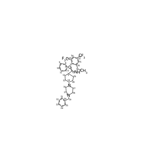 CC(NC(=O)[C@]1(c2ccccc2)CC[C@@H](N2CCN(Cc3ccccc3)CC2)CC1)c1cc(C(F)(F)F)cc(C(F)(F)F)c1